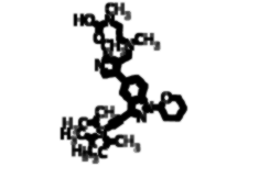 CC(C)[Si](C#Cc1nn(C2CCCCO2)c2ccc(-c3cnn(C)c3CN(C)CCN(C)C(=O)O)cc12)(C(C)C)C(C)C